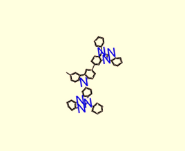 Cc1ccc2c(c1)c1cc(-c3ccc4c(c3)n3c5ccccc5nc3n4-c3ccccc3)ccc1n2-c1ccc2c(c1)n1c3ccccc3nc1n2-c1ccccc1